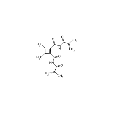 C=C(C)C(=O)NC(=O)C1=C(C(=O)NC(=O)C(=C)C)C(C)=C1C